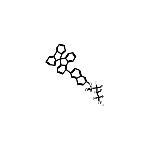 O=S(=O)(Oc1ccc2cc(-c3cccc4c3-c3ccccc3C43c4ccccc4-c4ccccc43)ccc2c1)C(F)(F)C(F)(F)C(F)(F)C(F)(F)F